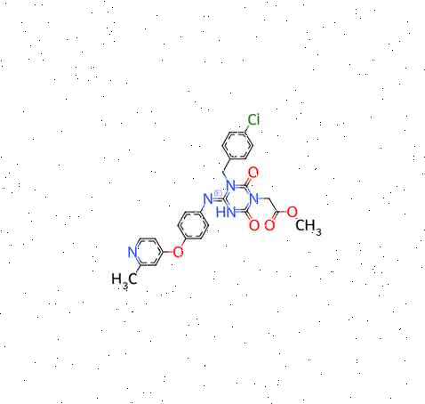 COC(=O)Cn1c(=O)[nH]/c(=N\c2ccc(Oc3ccnc(C)c3)cc2)n(Cc2ccc(Cl)cc2)c1=O